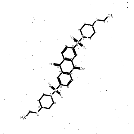 CCOC1CCN(S(=O)(=O)c2ccc3c(c2)C(=O)c2ccc(S(=O)(=O)N4CCC(OCC)CC4)cc2C3=O)CC1